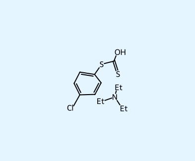 CCN(CC)CC.OC(=S)Sc1ccc(Cl)cc1